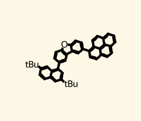 CC(C)(C)c1cc(-c2ccc3oc4ccc(-c5ccc6ccc7cccc8ccc5c6c78)cc4c3c2)c2cc(C(C)(C)C)ccc2c1